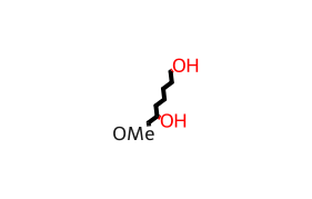 COCC(O)CCCCCO